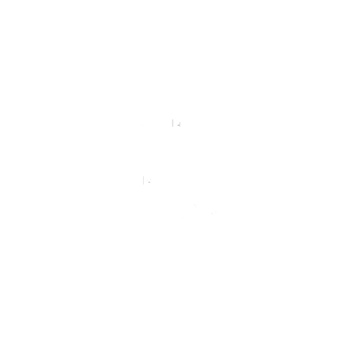 C=C(C)C(=O)CCOc1c(Br)c[c]cc1Br